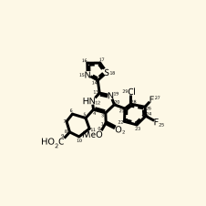 COC(=O)C1=C(C2CCC(C(=O)O)CC2)NC(c2nccs2)=NC1c1ccc(F)c(F)c1Cl